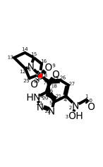 O=CN(O)c1ccc(S(=O)(=O)N2C3CCC2CN(C(=O)c2cnn[nH]2)C3)cc1